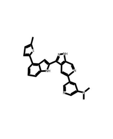 Cc1ccc(-c2cccc3[nH]c(-c4n[nH]c5cnc(-c6cncc(N(C)C)c6)cc45)cc23)s1